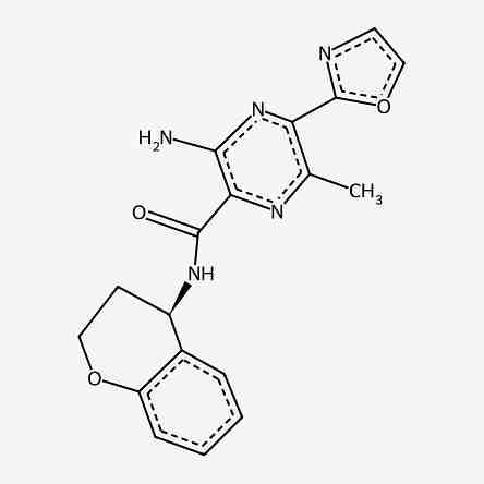 Cc1nc(C(=O)N[C@@H]2CCOc3ccccc32)c(N)nc1-c1ncco1